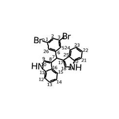 Brc1cc(Br)cc(C(c2c[nH]c3ccccc23)c2c[nH]c3ccccc23)c1